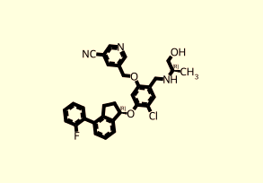 C[C@H](CO)NCc1cc(Cl)c(O[C@@H]2CCc3c(-c4ccccc4F)cccc32)cc1OCc1cncc(C#N)c1